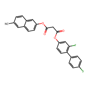 N#Cc1ccc2cc(OC(=O)CC(=O)Oc3ccc(-c4ccc(F)cc4)c(F)c3)ccc2c1